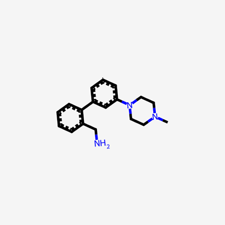 CN1CCN(c2c[c]cc(-c3ccccc3CN)c2)CC1